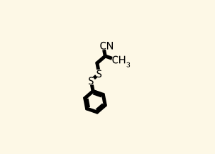 CC(C#N)CSSc1ccccc1